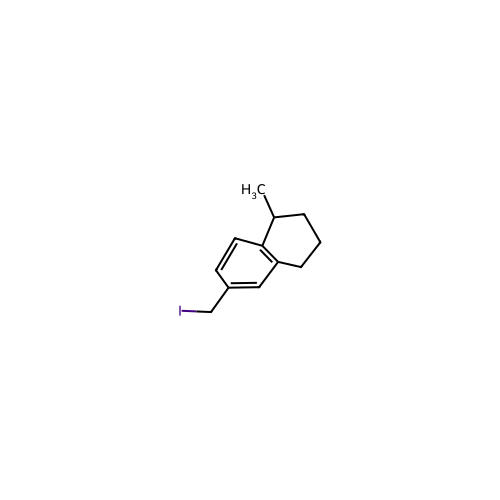 CC1CCCc2cc(CI)ccc21